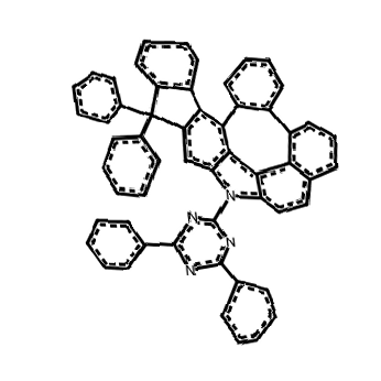 c1ccc(-c2nc(-c3ccccc3)nc(-n3c4cc5c(c6c4c4c7c(cccc7ccc43)-c3ccccc3-6)-c3ccccc3C5(c3ccccc3)c3ccccc3)n2)cc1